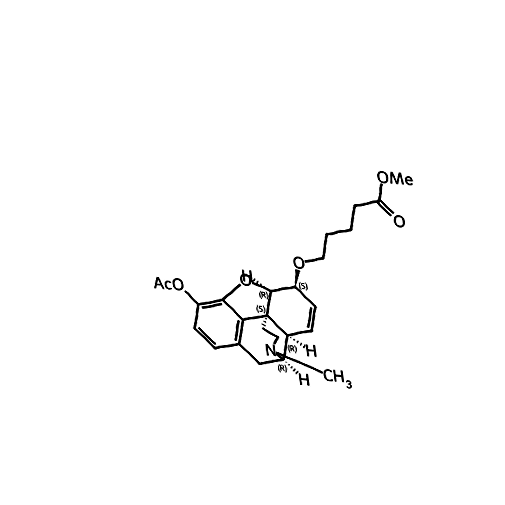 COC(=O)CCCCO[C@H]1C=C[C@H]2[C@H]3Cc4ccc(OC(C)=O)c5c4[C@@]2(CCN3C)[C@H]1O5